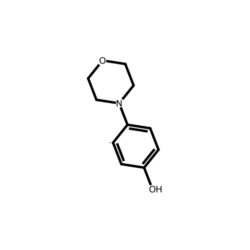 Oc1c[c]c(N2CCOCC2)cc1